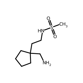 CS(=O)(=O)NCCC1(CN)CCCC1